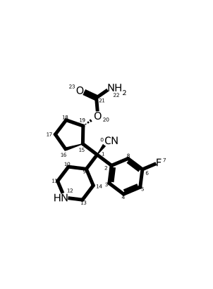 N#C[C@@](c1cccc(F)c1)(C1CCNCC1)[C@H]1CCC[C@@H]1OC(N)=O